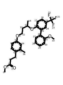 COC(=O)CCc1ccc(OCCC(C)Oc2ccc(C(F)(F)F)cc2-c2ccccc2OC)cc1C